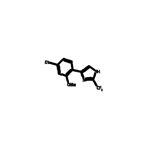 CCc1ccc(-c2c[nH]c(C(F)(F)F)n2)c(OC)c1